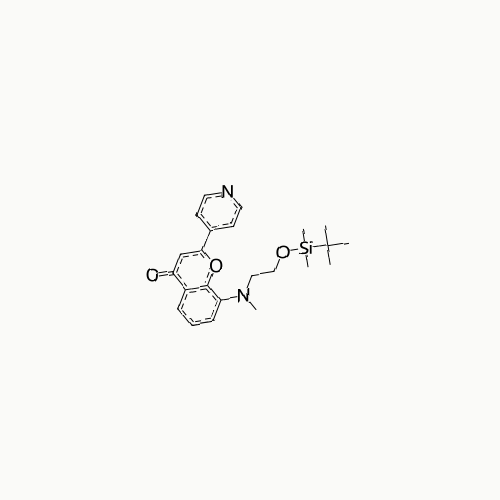 CN(CCO[Si](C)(C)C(C)(C)C)c1cccc2c(=O)cc(-c3ccncc3)oc12